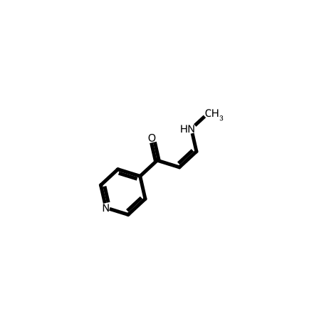 CN/C=C\C(=O)c1ccncc1